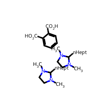 CCCCCCCC1N(C)CCN1C.CCCCCCCC1N(C)CCN1C.O=C(O)c1ccccc1C(=O)O